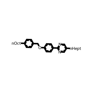 CCCCCCCCc1ccc(COc2ccc(-c3ncc(CCCCCCC)cn3)cc2)cc1